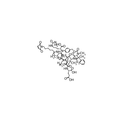 C/C(=C\[C@H](C(C)C)N(C)C(=O)[C@@H](NC(=O)[C@@H](N(C)C(=O)OCc1ccc(N(C(=O)[C@@H](NC(=O)CCCCCN2C(=O)C=CC2=O)C(C)C)[C@@H](CCCNC(N)=O)C(=O)O)cc1)C(C)(C)c1ccccc1)C(C)(C)C)C(=O)N[C@H](CCC(=O)O)C(=O)O